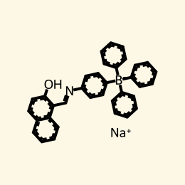 Oc1ccc2ccccc2c1/C=N/c1ccc([B-](c2ccccc2)(c2ccccc2)c2ccccc2)cc1.[Na+]